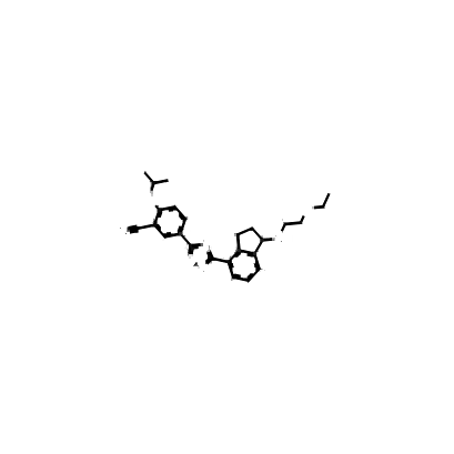 CCOCCNC1CCc2c(-c3noc(-c4ccc(OC(C)C)c(C#N)c4)n3)cccc21